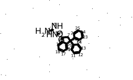 N=C(N)NOC(=O)CC(c1ccccc1)(c1ccccc1)c1ccccc1